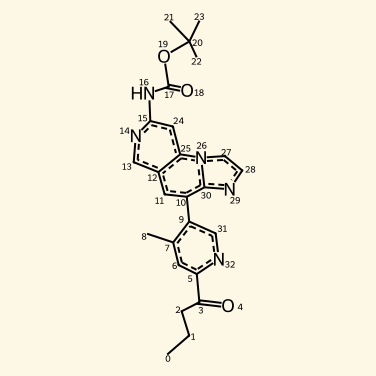 CCCC(=O)c1cc(C)c(-c2cc3cnc(NC(=O)OC(C)(C)C)cc3n3ccnc23)cn1